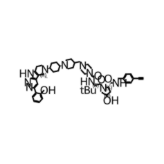 C#Cc1ccc(CNC(=O)[C@@H]2C[C@@H](O)CN2C(=O)[C@@H](NC(=O)N2CCN(CC3CCN([C@H]4CC[C@H](N5CCc6[nH]c7nnc(-c8ccccc8O)cc7c6[C@H]5C)CC4)CC3)CC2)C(C)(C)C)cc1